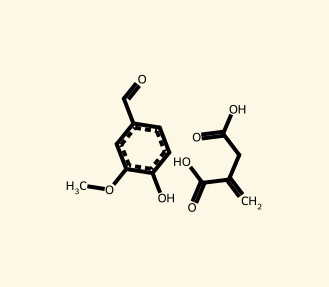 C=C(CC(=O)O)C(=O)O.COc1cc(C=O)ccc1O